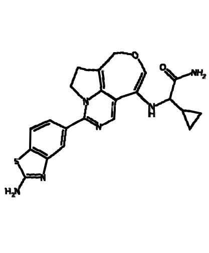 NC(=O)C(NC1=COCC2=C3C1=CN=C(c1ccc4sc(N)nc4c1)N3CC2)C1CC1